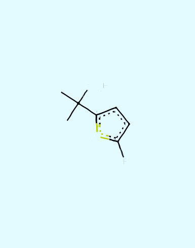 [CH2]Cc1ccc(C(C)(C)C(=O)O)s1